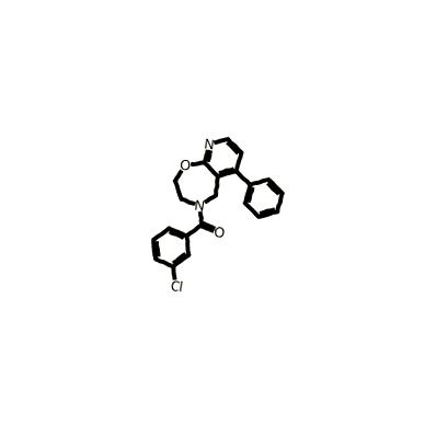 O=C(c1cccc(Cl)c1)N1CCOc2nccc(-c3ccccc3)c2C1